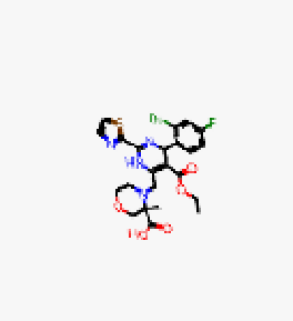 CCOC(=O)C1=C(CN2CCOC[C@@]2(C)C(=O)O)NC(c2nccs2)=NC1c1ccc(F)cc1Br